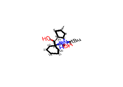 CC(C)(C)NC1CCC[C@@H]1C(O)C1(NO)CCCCC1